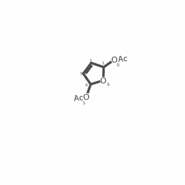 CC(=O)OC1C=CC(OC(C)=O)O1